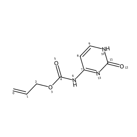 C=CCOC(=O)Nc1cc[nH]c(=O)n1